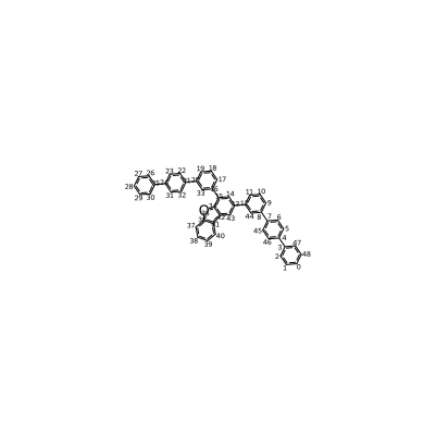 c1ccc(-c2ccc(-c3cccc(-c4cc(-c5cccc(-c6ccc(-c7ccccc7)cc6)c5)c5oc6ccccc6c5c4)c3)cc2)cc1